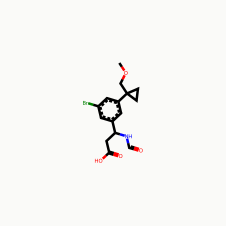 COCC1(c2cc(Br)cc(C(CC(=O)O)NC=O)c2)CC1